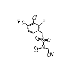 CCN(CC#N)S(=O)(=O)Cc1ccc(C(F)(F)F)c(Cl)c1F